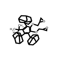 CC(C)(C)c1c(C23CC4CC(CC(C4)C2)C3)c(OCC2CO2)c(OCC2CO2)c(C23CC4CC(CC(C4)C2)C3)c1C12CC3CC(CC(C3)C1)C2